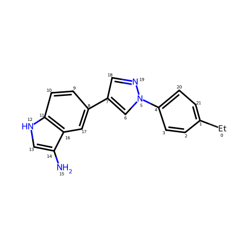 CCc1ccc(-n2cc(-c3ccc4[nH]cc(N)c4c3)cn2)cc1